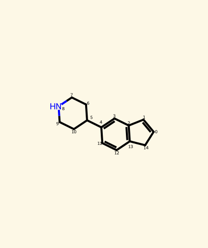 C1=Cc2cc(C3CCNCC3)ccc2C1